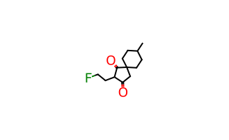 CC1CCC2(CC1)CC(=O)C(CCF)C2=O